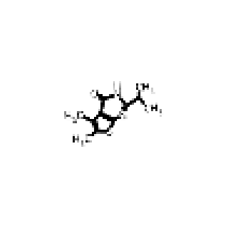 Cc1sc2nc(C(C)C)[nH]c(=O)c2c1C